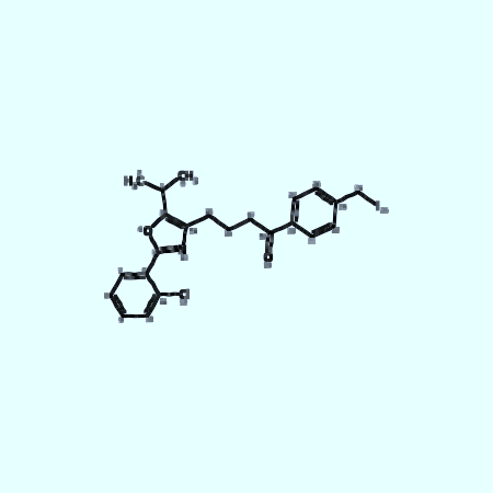 CC(C)c1oc(-c2ccccc2Cl)nc1CCCC(=O)c1ccc(CI)cc1